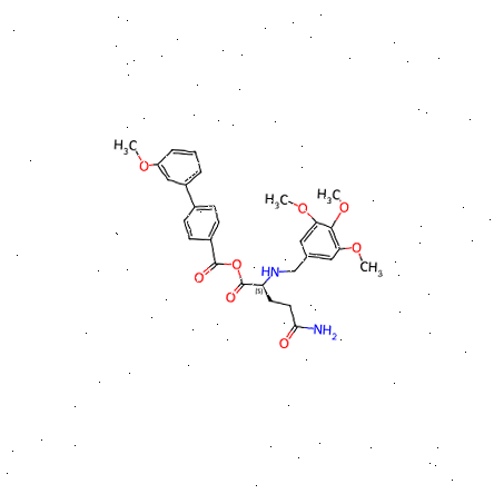 COc1cccc(-c2ccc(C(=O)OC(=O)[C@H](CCC(N)=O)NCc3cc(OC)c(OC)c(OC)c3)cc2)c1